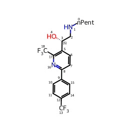 CCCCCNC[C@@H](O)c1ccc(-c2ccc(C(F)(F)F)cc2)nc1C(F)(F)F